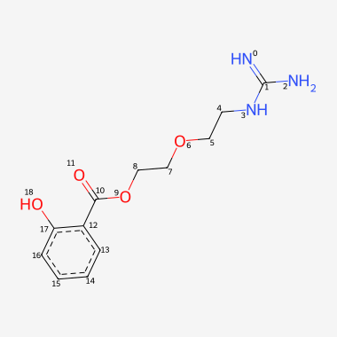 N=C(N)NCCOCCOC(=O)c1ccccc1O